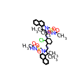 CC(=O)NS(=O)(=O)CN1/C(=C/C=C2\CCCC(/C=C/C3=[N+](CS(=O)(=O)NC(C)=O)c4ccc5ccccc5c4C3(C)C)=C2Cl)C(C)(C)c2c1ccc1ccccc21